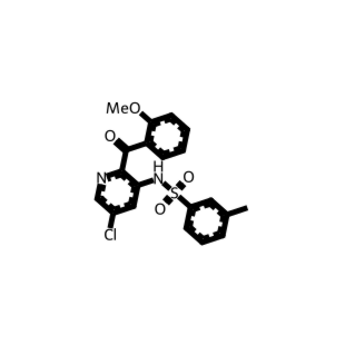 COc1ccccc1C(=O)c1ncc(Cl)cc1NS(=O)(=O)c1cccc(C)c1